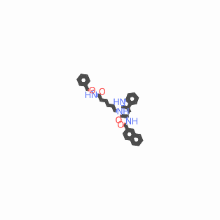 O=C(CCCCCNC(=O)[C@H](CC1CNc2ccccc21)NC(=O)c1ccc2ccccc2c1)NOCc1ccccc1